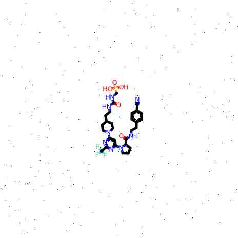 N#Cc1ccc(CCNC(=O)C2CCCN2c2cc(N3CCC(CCNC(=O)NCP(=O)(O)O)CC3)nc(C(F)(F)F)n2)cc1